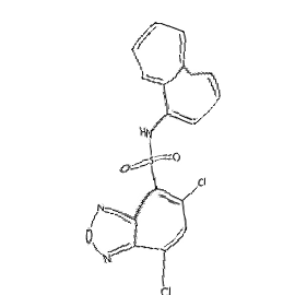 O=S(=O)(Nc1cccc2ccccc12)c1c(Cl)cc(Cl)c2nonc12